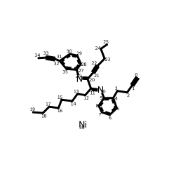 C#CCCc1ccccc1/N=C(CCCCCCCC)/C(C#CCCC)=N/c1cccc(C#CC)c1.[Ni]